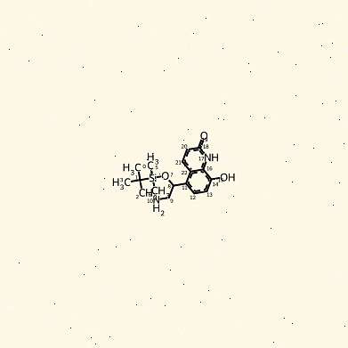 CC(C)(C)[Si](C)(C)OC(CN)c1ccc(O)c2[nH]c(=O)ccc12